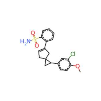 COc1ccc(C2CC23CC=C(c2ccccc2S(N)(=O)=O)C3)cc1Cl